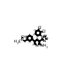 CN(C)Cc1cccc(-c2cnc(N)c(-c3nnnn3-c3cccc(Cl)c3Cl)c2)c1